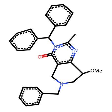 COC1CN(Cc2ccccc2)Cc2c1nc(C)n(C(c1ccccc1)c1ccccc1)c2=O